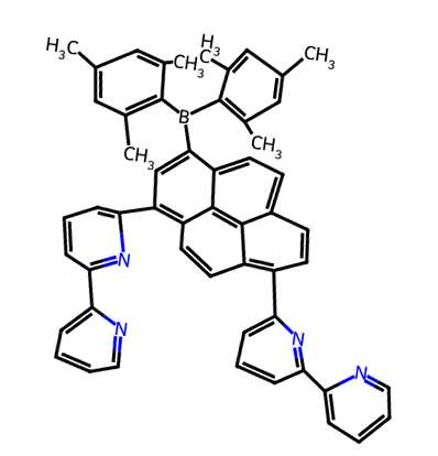 Cc1cc(C)c(B(c2c(C)cc(C)cc2C)c2cc(-c3cccc(-c4ccccn4)n3)c3ccc4c(-c5cccc(-c6ccccn6)n5)ccc5ccc2c3c54)c(C)c1